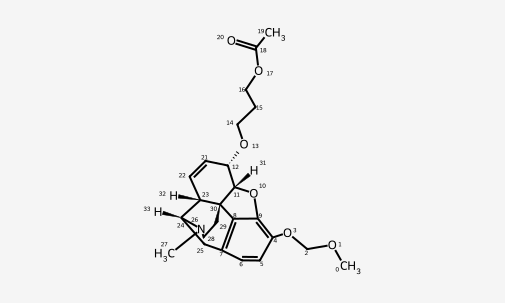 COCOc1ccc2c3c1O[C@H]1[C@@H](OCCCOC(C)=O)C=C[C@H]4[C@@H](C2)N(C)CC[C@@]341